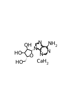 Nc1ncnc2c1ncn2[C@@H]1O[C@H](CO)[C@@H](O)[C@H]1O.[CaH2]